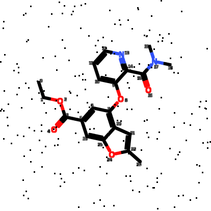 CCOC(=O)c1cc(Oc2cccnc2C(=O)N(C)C)c2cc(C)oc2c1